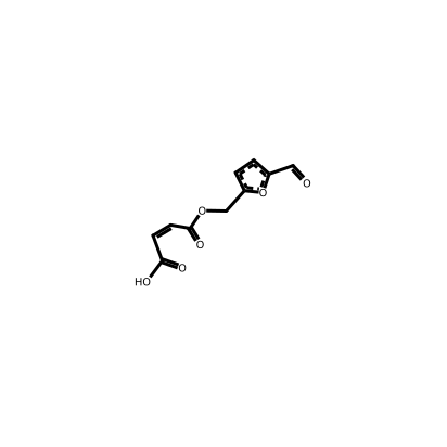 O=Cc1ccc(COC(=O)/C=C\C(=O)O)o1